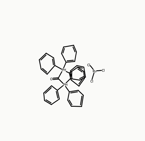 O=C([PH](c1ccccc1)(c1ccccc1)c1ccccc1)[PH](c1ccccc1)(c1ccccc1)c1ccccc1.[Cl][Ru]([Cl])[Cl]